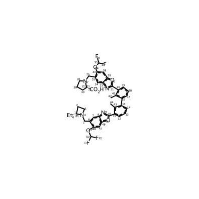 CC[C@@H]1CCN1Cc1cc2nc(-c3cccc(-c4cccc(-c5nc6cc(CN7CCC[C@H]7C(=O)O)c(OC(F)F)cc6o5)c4C)c3C)oc2cc1OC(F)F